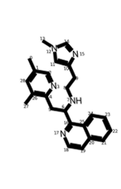 Cc1cnc(CC(NCCc2cn(C)cn2)c2nccc3ccccc23)c(C)c1